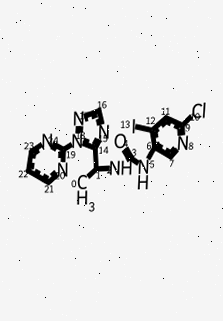 CC(NC(=O)Nc1cnc(Cl)cc1I)c1ncnn1-c1ncccn1